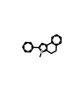 Cn1c(-c2ccccc2)cc2c1CCc1ccccc1-2